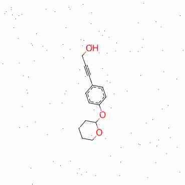 OCC#Cc1ccc(OC2CCCCO2)cc1